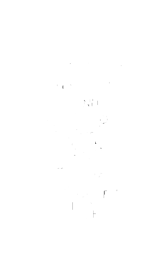 Cc1ccccc1C(=O)Nc1ccccc1C(=O)N(C)c1cccc(C(F)(F)F)c1